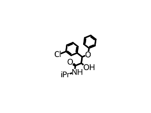 CC(C)NC(=O)C(O)C(Oc1ccccc1)c1cccc(Cl)c1